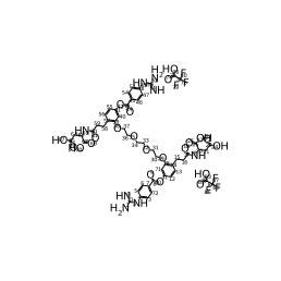 N=C(N)Nc1ccc(C(=O)Oc2ccc(CCC(=O)NC(CC(=O)O)C(=O)O)c(OCCOCCOCCOc3cc(OC(=O)c4ccc(NC(=N)N)cc4)ccc3CCC(=O)NC(CC(=O)O)C(=O)O)c2)cc1.O=C(O)C(F)(F)F.O=C(O)C(F)(F)F